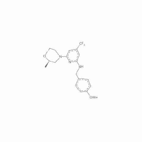 COc1ccc(CNc2cc(C(F)(F)F)cc(N3CCO[C@H](C)C3)n2)cc1